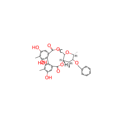 Cc1c(O)cc2c(c1O)-c1c(cc(O)c(C)c1O)C(=O)O[C@@H]1C(COC2=O)O[C@H](C)C(OCc2ccccc2)[C@H]1C